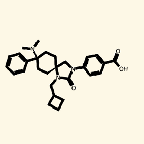 CN(C)[C@]1(c2ccccc2)CC[C@@]2(CC1)CN(c1ccc(C(=O)O)cc1)C(=O)N2CC1CCC1